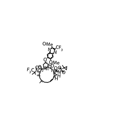 COc1cc2nc(C(F)(F)F)c(OC)nc2cc1O[C@@H]1C[C@H]2C(=O)N[C@]3(C(=O)NS(=O)(=O)C4(C)CC4)C[C@H]3C=CCC[C@@H](C)C[C@@H](C)[C@H](N(C(=O)O)C(C)(C)C(F)(F)F)C(=O)N2C1